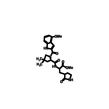 COC(=O)C(CC1CCNC1=O)NC(=O)C1CC(C)(C)CN1C(=O)c1cc2c(OC)cccc2[nH]1